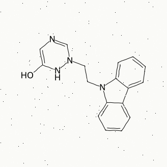 OC1=CN=CN(CCn2c3ccccc3c3ccccc32)N1